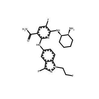 NC(=O)c1cc(F)c(N[C@@H]2CCCC[C@@H]2N)nc1Nc1ccc2c(c1)c(F)nn2CCF